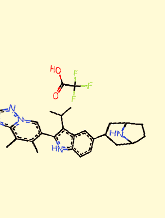 Cc1c(-c2[nH]c3ccc(C4CC5CCC(C4)N5)cc3c2C(C)C)cn2ncnc2c1C.O=C(O)C(F)(F)F